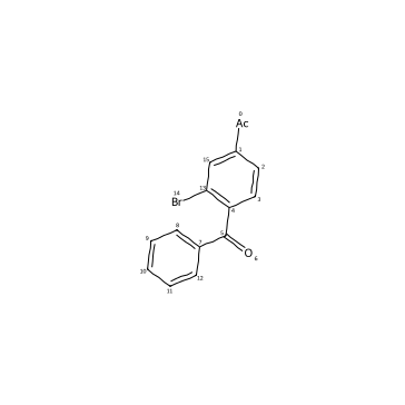 CC(=O)c1ccc(C(=O)c2ccccc2)c(Br)c1